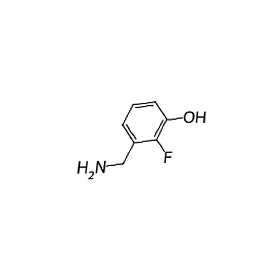 NCc1cccc(O)c1F